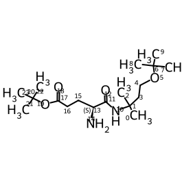 CC(C)(CCOC(C)(C)C)NC(=O)[C@@H](N)CCC(=O)OC(C)(C)C